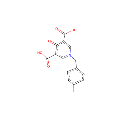 O=C(O)c1cn(Cc2ccc(F)cc2)cc(C(=O)O)c1=O